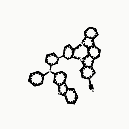 N#Cc1ccc2c(c1)c1ccc3c4ccccc4n4c5ccc(-c6cccc(N(c7ccccc7)c7ccc8c(c7)oc7ccccc78)c6)cc5n2c1c34